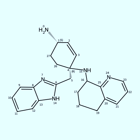 N[C@@H]1C=C[C@@](Cc2nc3ccccc3[nH]2)(NC2CCCc3cccnc32)CC1